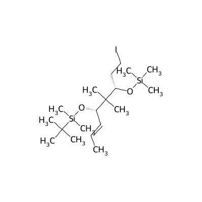 C/C=C/[C@H](O[Si](C)(C)C(C)(C)C)C(C)(C)[C@H](CCI)O[Si](C)(C)C